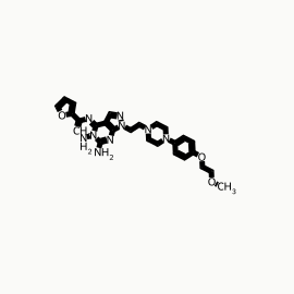 C=C(/N=c1/c2cnn(CCN3CCN(c4ccc(OCCOC)cc4)CC3)c2nc(N)n1N)c1ccco1